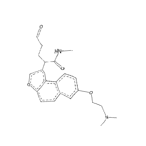 CNC(=O)C(CCC=O)c1coc2ccc3cc(OCCN(C)C)ccc3c12